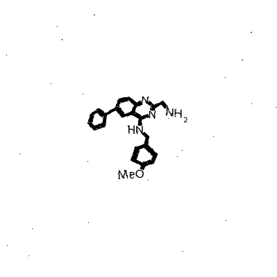 COc1ccc(CNc2nc(CN)nc3ccc(-c4ccccc4)cc23)cc1